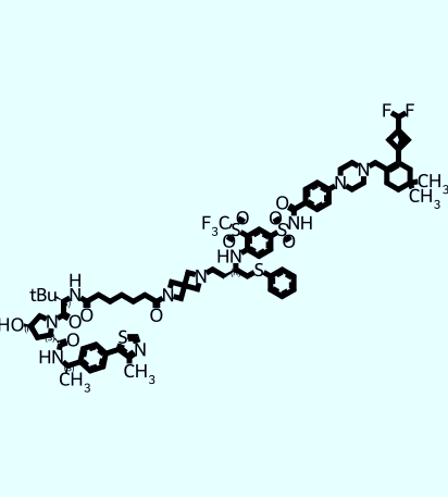 Cc1ncsc1-c1ccc([C@H](C)NC(=O)[C@@H]2C[C@@H](O)CN2C(=O)[C@@H](NC(=O)CCCCCC(=O)N2CC3(CN(CC[C@H](CSc4ccccc4)Nc4ccc(S(=O)(=O)NC(=O)c5ccc(N6CCN(CC7=C(C89CC(C(F)F)(C8)C9)CC(C)(C)CC7)CC6)cc5)cc4S(=O)(=O)C(F)(F)F)C3)C2)C(C)(C)C)cc1